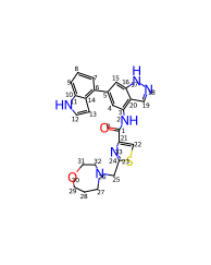 O=C(Nc1cc(-c2cccc3[nH]ccc23)cc2[nH]ncc12)c1csc(CN2CCCOCC2)n1